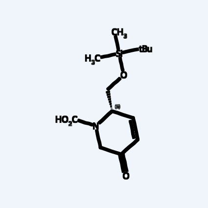 CC(C)(C)[Si](C)(C)OC[C@@H]1C=CC(=O)CN1C(=O)O